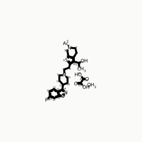 CC(=O)N1CCc2c(sc(CCN3CCC(c4noc5cc(F)ccc45)CC3)c2C(C)O)C1.O.O=C(O)C(=O)O